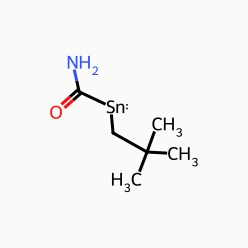 CC(C)(C)[CH2][Sn][C](N)=O